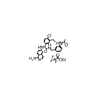 CCc1cc(C(Nc2ccc3c(N)nccc3c2)C(=O)NCc2cccc(NC(C)=O)c2)ccc1Cl.O=C(O)C(F)(F)F